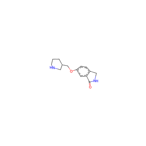 O=C1NCc2ccc(OCC3CCCNC3)cc21